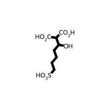 O=C(O)[C](C(=O)O)C(O)CCCCS(=O)(=O)O